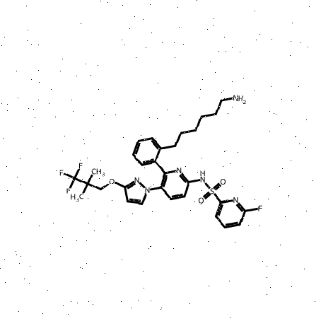 CC(C)(COc1ccn(-c2ccc(NS(=O)(=O)c3cccc(F)n3)nc2-c2ccccc2CCCCCCN)n1)C(F)(F)F